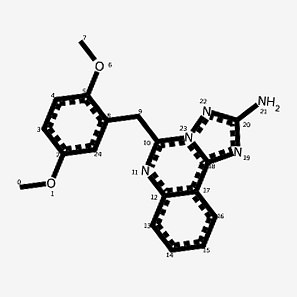 COc1ccc(OC)c(Cc2nc3ccccc3c3nc(N)nn23)c1